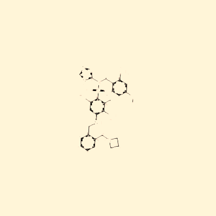 COc1ccc(CN(c2ncns2)S(=O)(=O)c2c(F)cc(NCc3ccccc3CN3CCC3)c(C)c2F)c(C)c1